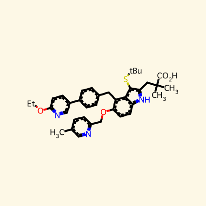 CCOc1ccc(-c2ccc(Cc3c(OCc4ccc(C)cn4)ccc4[nH]c(CC(C)(C)C(=O)O)c(SC(C)(C)C)c34)cc2)cn1